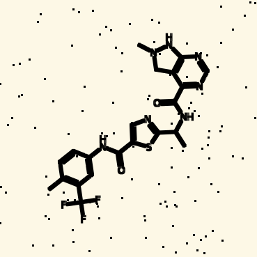 Cc1ccc(NC(=O)c2cnc(C(C)NC(=O)c3ncnc4c3CN(C)N4)s2)cc1C(F)(F)F